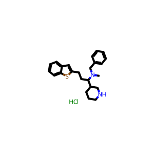 CN(Cc1ccccc1)C(CCc1cc2ccccc2s1)C1CCCNC1.Cl